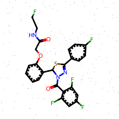 O=C(COc1ccccc1C1SC(c2ccc(F)cc2)=NN1C(=O)c1c(F)cc(F)cc1F)NCCF